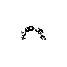 Cn1cc(-n2ccc(=O)c(COc3ccc4ncc(-n5cc([Si](C)(C)C)nn5)cc4c3)n2)cn1